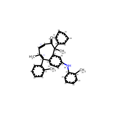 C=C1/C=C\C(C)=C(\c2ccccc2C)c2ccc(Nc3ccccc3C)cc2C1(C)c1ccccc1